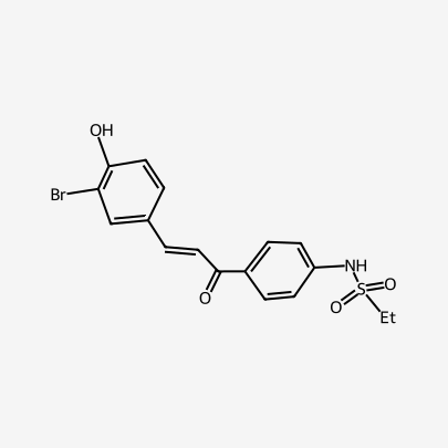 CCS(=O)(=O)Nc1ccc(C(=O)C=Cc2ccc(O)c(Br)c2)cc1